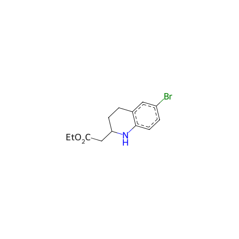 CCOC(=O)CC1CCc2cc(Br)ccc2N1